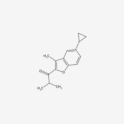 Cc1c(C(=O)C(C)C)oc2ccc(C3CC3)cc12